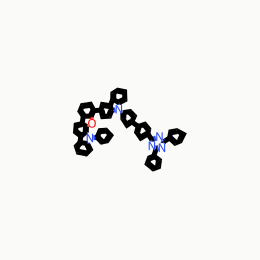 c1ccc(-c2nc(-c3ccccc3)nc(-c3ccc(-c4ccc(-n5c6ccccc6c6cc(-c7cccc8c7oc7c8ccc8c9ccccc9n(-c9ccccc9)c87)ccc65)cc4)cc3)n2)cc1